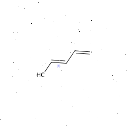 [C]=C/C=C/[CH]